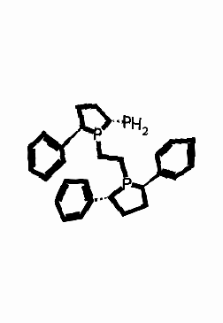 P[C@H]1CC[C@H](c2ccccc2)P1CCP1[C@@H](c2ccccc2)CC[C@@H]1c1ccccc1